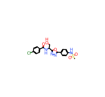 CS(=O)(=O)Nc1ccc(-c2nnc(C(CO)NC(=O)c3ccc(Cl)cc3)o2)cc1